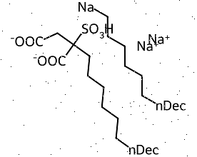 CCCCCCCCCCCCCCCCC(CC(=O)[O-])(C(=O)[O-])S(=O)(=O)O.CCCCCCCCCCCCCCC[CH2][Na].[Na+].[Na+]